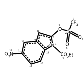 CCOC(=O)n1c(OS(=O)(=O)C(F)(F)F)cc2cc([N+](=O)[O-])ccc21